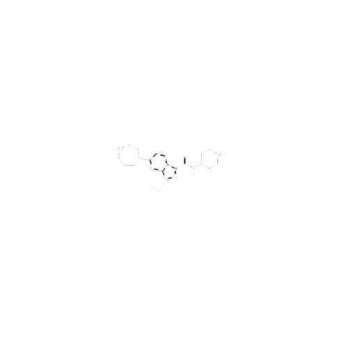 Cn1nc(C(=O)NC2CCNCC2)c2ccc(N3CCCNCC3)nc21